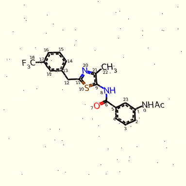 CC(=O)Nc1cccc(C(=O)Nc2sc(Cc3cccc(C(F)(F)F)c3)nc2C)c1